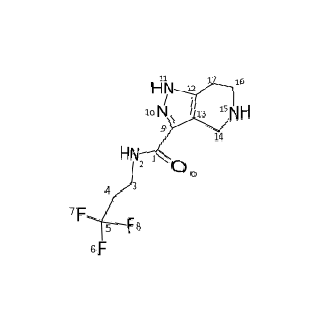 O=C(NCCC(F)(F)F)c1n[nH]c2c1CNCC2